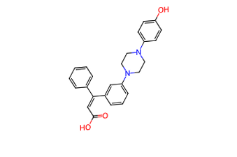 O=C(O)/C=C(/c1ccccc1)c1cccc(N2CCN(c3ccc(O)cc3)CC2)c1